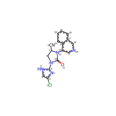 N#CC1CN(c2nc(Cl)c[nH]2)C(=O)N1c1cncc2ccccc12